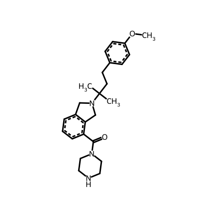 COc1ccc(CCC(C)(C)N2Cc3cccc(C(=O)N4CCNCC4)c3C2)cc1